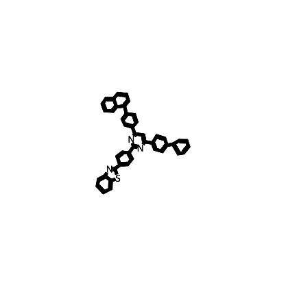 c1ccc(-c2ccc(-c3cc(-c4ccc(-c5cccc6ccccc56)cc4)nc(-c4ccc(-c5nc6ccccc6s5)cc4)n3)cc2)cc1